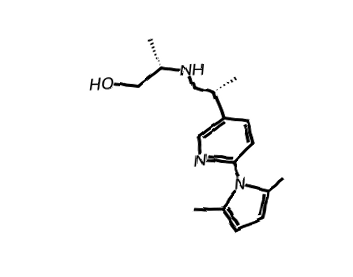 Cc1ccc(C)n1-c1ccc([C@@H](C)CN[C@@H](C)CO)cn1